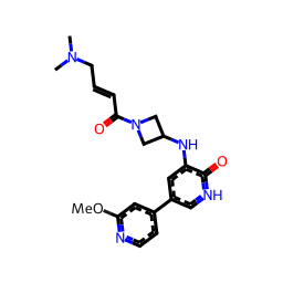 COc1cc(-c2c[nH]c(=O)c(NC3CN(C(=O)/C=C/CN(C)C)C3)c2)ccn1